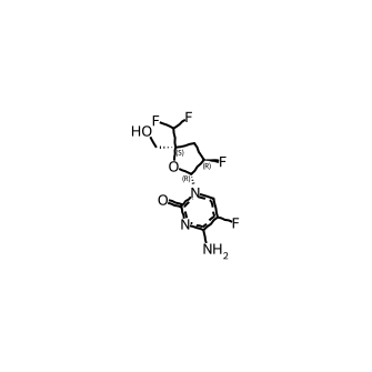 Nc1nc(=O)n([C@@H]2O[C@@](CO)(C(F)F)C[C@H]2F)cc1F